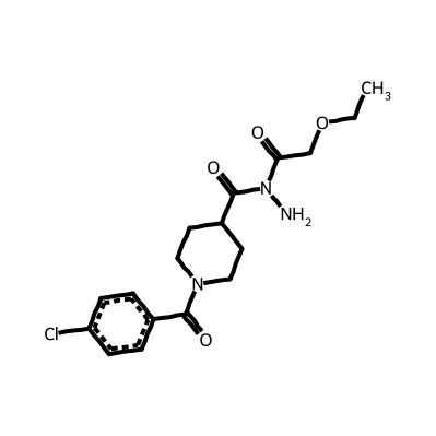 CCOCC(=O)N(N)C(=O)C1CCN(C(=O)c2ccc(Cl)cc2)CC1